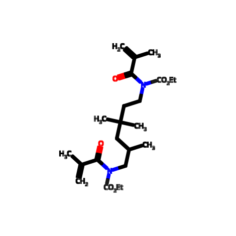 C=C(C)C(=O)N(CCC(C)(C)CC(C)CN(C(=O)OCC)C(=O)C(=C)C)C(=O)OCC